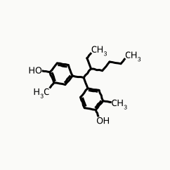 CCCCC(CC)C(c1ccc(O)c(C)c1)c1ccc(O)c(C)c1